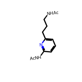 CC(=O)NCCCc1cccc(NC(C)=O)n1